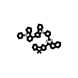 CC1(C)c2ccccc2-c2cc(-c3nc(-c4cccc(-n5c6ccccc6c6cc(-c7cccc8c7c7ccccc7n8-c7ccccc7)ccc65)c4)nc4c3ccc3ccccc34)ccc21